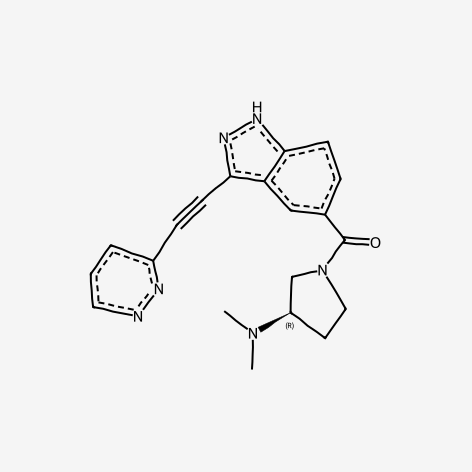 CN(C)[C@@H]1CCN(C(=O)c2ccc3[nH]nc(C#Cc4cccnn4)c3c2)C1